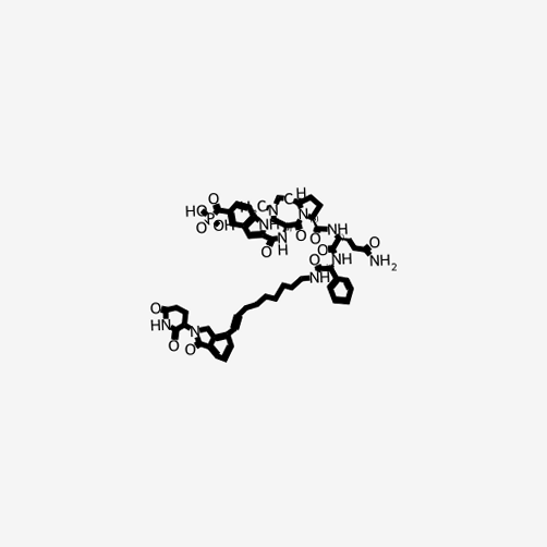 CN1CC[C@H]2CC[C@@H](C(=O)N[C@@H](CCC(N)=O)C(=O)N[C@H](C(=O)NCCCCCCCC#Cc3cccc4c3CN(C3CCC(=O)NC3=O)C4=O)c3ccccc3)N2C(=O)[C@@H](NC(=O)c2cc3cc(C(=O)P(=O)(O)O)ccc3[nH]2)C1